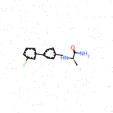 C[C@@H](NCc1ccc(-c2cccc(F)c2)cc1)C(N)=O